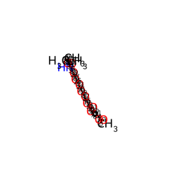 CC(=O)OCc1ccc(OC(=O)CCOCCOCCOCCOCCOCCOCCNC(=O)OC(C)(C)C)cc1